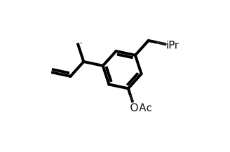 [CH2]C(C=C)c1cc(CC(C)C)cc(OC(C)=O)c1